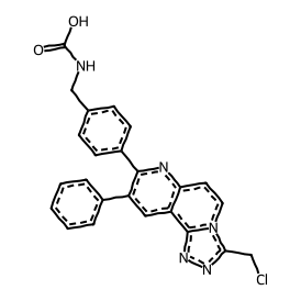 O=C(O)NCc1ccc(-c2nc3ccn4c(CCl)nnc4c3cc2-c2ccccc2)cc1